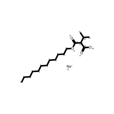 CCCCCCCCCCCCOC(=O)C(C(=O)[O-])C(C)C.[Na+]